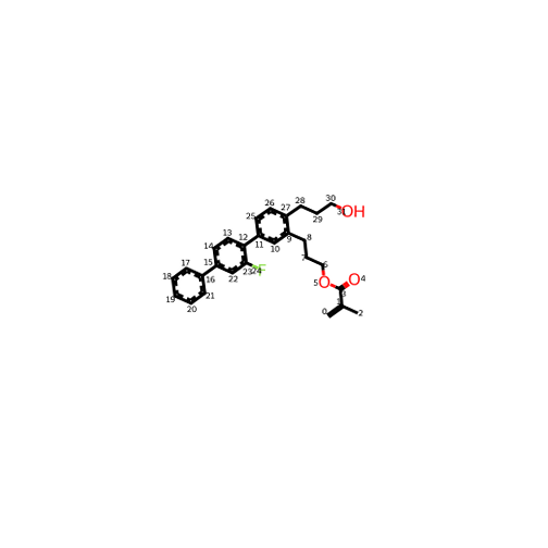 C=C(C)C(=O)OCCCc1cc(-c2ccc(-c3ccccc3)cc2F)ccc1CCCO